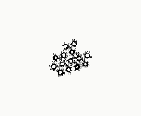 c1ccc(N(c2ccccc2)c2ccc3c(c2)Oc2cc(N(c4ccccc4)c4ccccc4)cc4c2B3c2cc3c(cc2N4c2ccccc2)N(c2ccccc2)c2cc(N(c4ccccc4)c4ccccc4)cc4c2B3c2ccccc2N4c2ccccc2)cc1